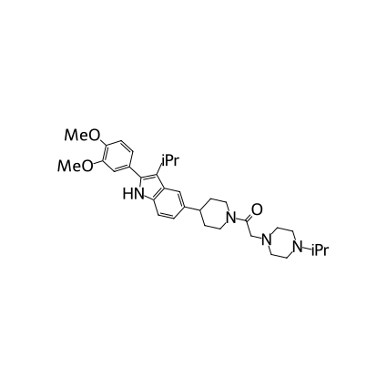 COc1ccc(-c2[nH]c3ccc(C4CCN(C(=O)CN5CCN(C(C)C)CC5)CC4)cc3c2C(C)C)cc1OC